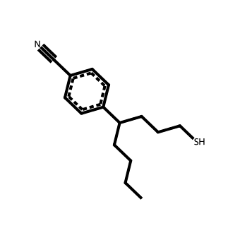 CCCCC(CCCS)c1ccc(C#N)cc1